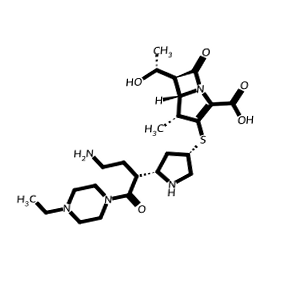 CCN1CCN(C(=O)C(CCN)[C@@H]2C[C@H](SC3=C(C(=O)O)N4C(=O)[C@H]([C@@H](C)O)[C@H]4[C@H]3C)CN2)CC1